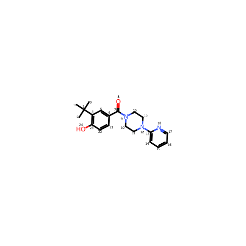 CC(C)(C)c1cc(C(=O)N2CCN(c3ccccn3)CC2)ccc1O